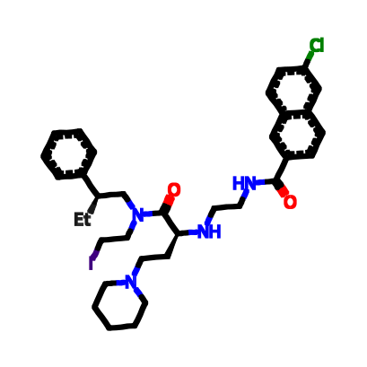 CC[C@H](CN(CCI)C(=O)[C@H](CCN1CCCCC1)NCCNC(=O)c1ccc2cc(Cl)ccc2c1)c1ccccc1